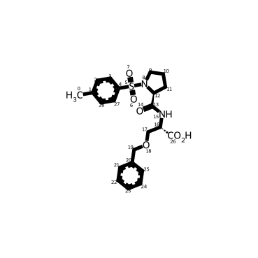 Cc1ccc(S(=O)(=O)N2CCC[C@H]2C(=O)N[C@@H](COCc2ccccc2)C(=O)O)cc1